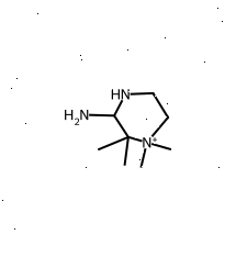 CC1(C)C(N)NCC[N+]1(C)C